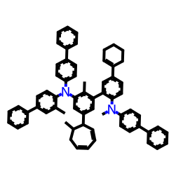 Cc1cc(-c2ccccc2)ccc1N(c1ccc(-c2ccccc2)cc1)c1cc(C2C=CC=CCC2C)cc(-c2cc(C3=CCCCC3)ccc2N(C)c2ccc(-c3ccccc3)cc2)c1C